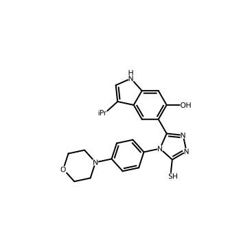 CC(C)c1c[nH]c2cc(O)c(-c3nnc(S)n3-c3ccc(N4CCOCC4)cc3)cc12